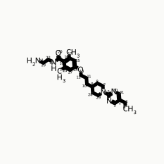 CCc1cnc(N2CCC(CCCOc3cc(C)c(C(=O)NCCN)c(C)c3)CC2)nc1